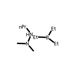 CCB(CC)CC.CCCNN(C)C